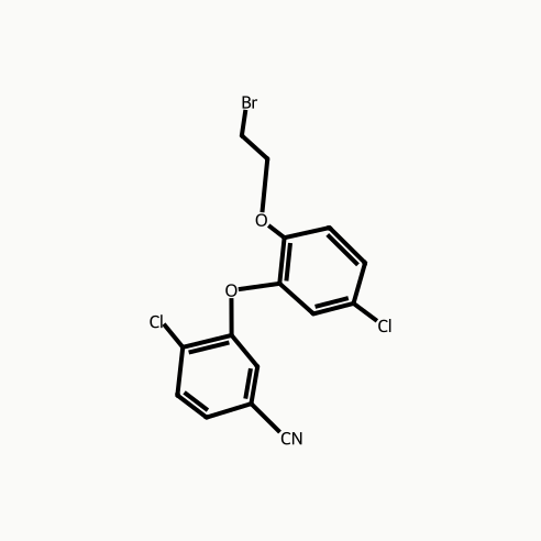 N#Cc1ccc(Cl)c(Oc2cc(Cl)ccc2OCCBr)c1